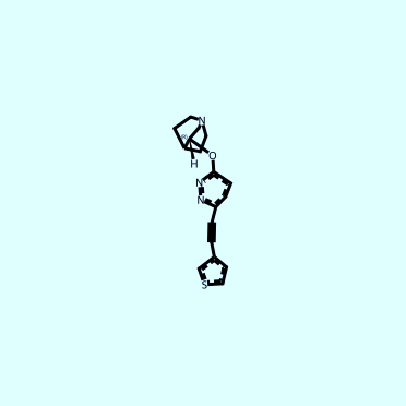 C(#Cc1ccc(O[C@H]2CN3CCC2CC3)nn1)c1ccsc1